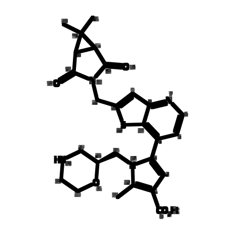 CCOC(=O)c1cc(-c2ccnc3cc(CN4C(=O)C5C(C4=O)C5(C)C)sc23)n(C[C@@H]2CNCCO2)c1C